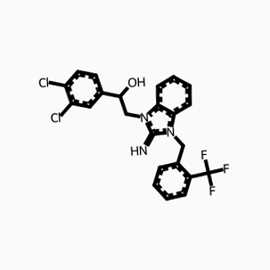 N=c1n(Cc2ccccc2C(F)(F)F)c2ccccc2n1CC(O)c1ccc(Cl)c(Cl)c1